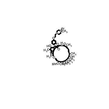 CO[C@H]1/C=C/O[C@@]2(C)Oc3c(C)c(O)c4c(=O)c(c5oc6cc(OCCN7CC[N+](C)(C(C)C)CC7)ccc6nc-5c4c3C2=O)NC(=O)/C(C)=C\C=C\[C@H](C)[C@H](O)[C@@H](C)[C@@H](C)[C@@H](C)[C@H](OC(C)=O)[C@@H]1C